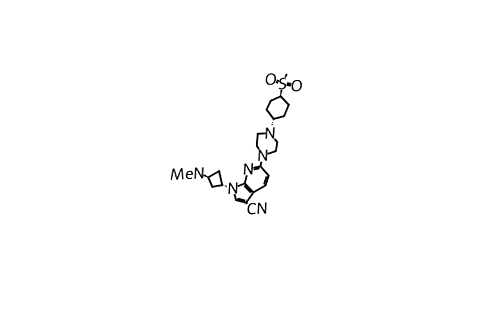 CN[C@H]1C[C@H](n2cc(C#N)c3ccc(N4CCN([C@H]5CC[C@H](S(C)(=O)=O)CC5)CC4)nc32)C1